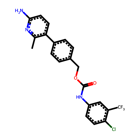 Cc1nc(N)ccc1-c1ccc(COC(=O)Nc2ccc(Cl)c(C(F)(F)F)c2)cc1